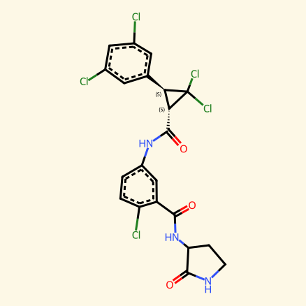 O=C(NC1CCNC1=O)c1cc(NC(=O)[C@@H]2[C@@H](c3cc(Cl)cc(Cl)c3)C2(Cl)Cl)ccc1Cl